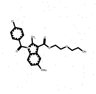 COc1ccc2c(c1)c(C(=O)OCCOCCO)c(C)n2C(=O)c1ccc(Cl)cc1